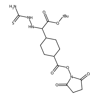 CC(C)(C)OC(=O)C(NNC(N)=S)C1CCC(C(=O)ON2C(=O)CCC2=O)CC1